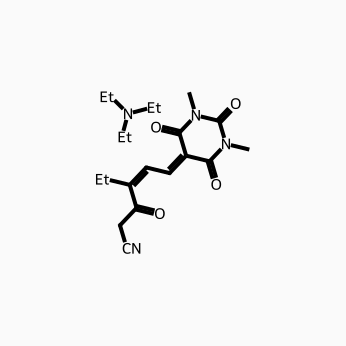 CCC(=CC=C1C(=O)N(C)C(=O)N(C)C1=O)C(=O)CC#N.CCN(CC)CC